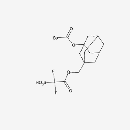 CCC(C)C(=O)OC12CC3CC(CC(COC(=O)C(F)(F)S(=O)(=O)O)(C3)C1)C2